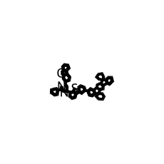 C1=C2C(CC3=C1c1ccccc1C31CCCCC1)c1cc(-c3ccc4sc5c(-c6cc(-c7ccc8c(c7)oc7ccccc78)nc(-c7ccccc7)n6)cccc5c4c3)ccc1C21CCCCC1